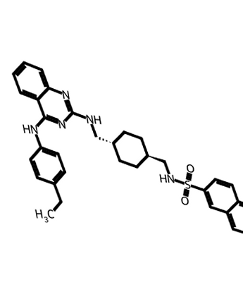 CCc1ccc(Nc2nc(NC[C@H]3CC[C@H](CNS(=O)(=O)c4ccc5ccccc5c4)CC3)nc3ccccc23)cc1